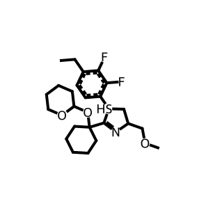 CCc1ccc([SH]2CC(COC)N=C2C2(OC3CCCCO3)CCCCC2)c(F)c1F